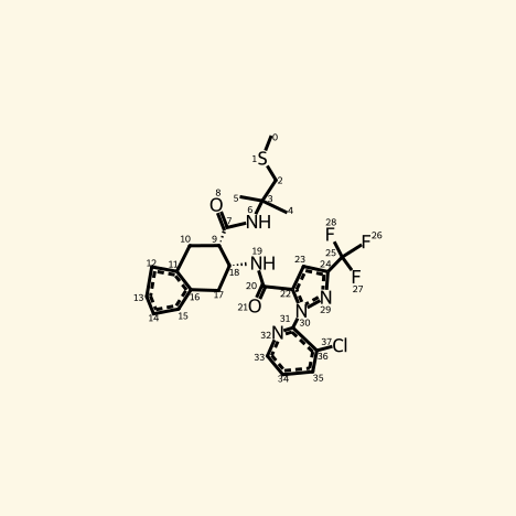 CSCC(C)(C)NC(=O)[C@H]1Cc2ccccc2C[C@H]1NC(=O)c1cc(C(F)(F)F)nn1-c1ncccc1Cl